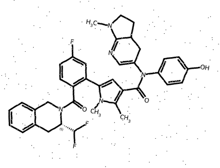 Cc1c(C(=O)N(C2=CN=C3C(CCN3C)C2)c2ccc(O)cc2)cc(-c2cc(F)ccc2C(=O)N2Cc3ccccc3C[C@H]2C(F)F)n1C